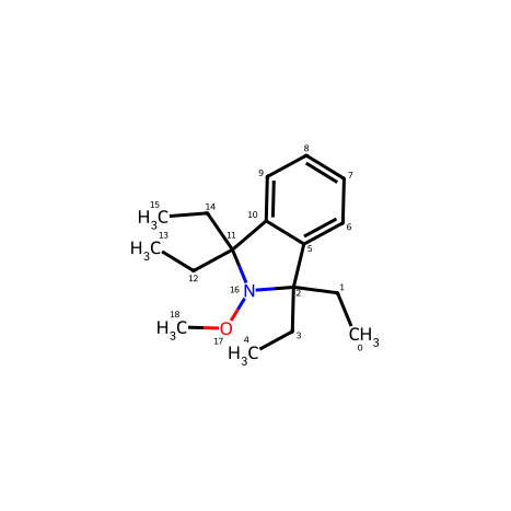 CCC1(CC)c2ccccc2C(CC)(CC)N1OC